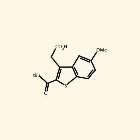 COc1ccc2sc(C(=O)C(C)(C)C)c(CC(=O)O)c2c1